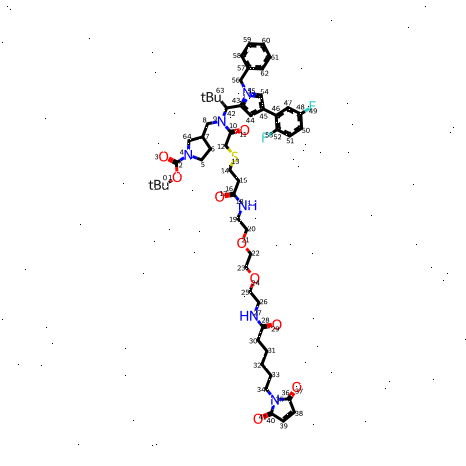 CC(C)(C)OC(=O)N1CCC(CN(C(=O)CSCCC(=O)NCCOCCOCCNC(=O)CCCCCN2C(=O)C=CC2=O)C(c2cc(-c3cc(F)ccc3F)cn2Cc2ccccc2)C(C)(C)C)C1